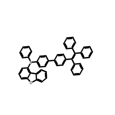 c1ccc(C(=C(c2ccccc2)c2ccc(-c3ccc(N(c4ccccc4)c4cccc5oc6ccccc6c45)cc3)cc2)c2ccccc2)cc1